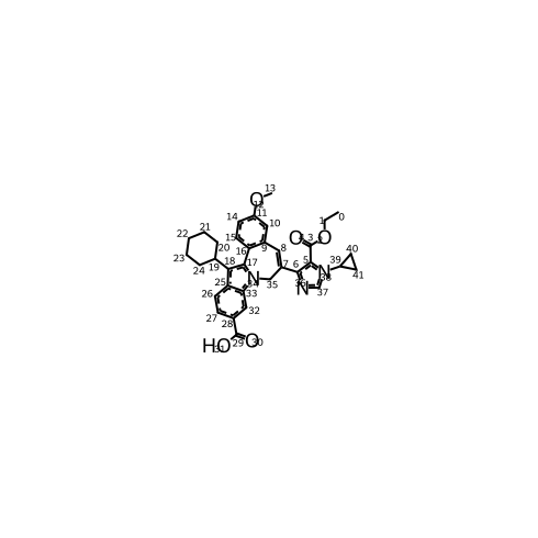 CCOC(=O)c1c(C2=Cc3cc(OC)ccc3-c3c(C4CCCCC4)c4ccc(C(=O)O)cc4n3C2)ncn1C1CC1